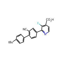 CC(C)(C)c1ccc(-c2ccc(-c3nccc(C(=O)O)c3F)cc2C#N)cc1